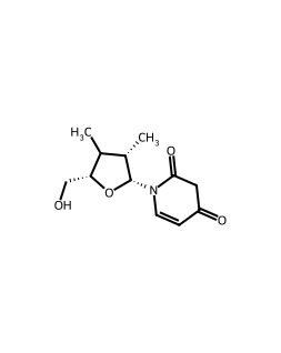 CC1[C@@H](CO)O[C@@H](N2C=CC(=O)CC2=O)[C@H]1C